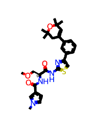 COC[C@H](NC(=O)c1ccn(C)c1)C(=O)Nc1nc(-c2cccc(C3=CC(C)(C)OC(C)(C)C3)c2)cs1